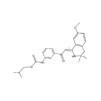 COc1ccc2c(c1)/C(=C/C(=O)c1cccc(NC(=O)OCC(C)C)c1)NC(C)(C)C2